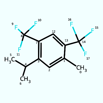 Cc1cc(C(C)C)c(C(F)(F)F)cc1C(F)(F)F